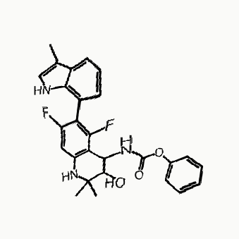 Cc1c[nH]c2c(-c3c(F)cc4c(c3F)C(NC(=O)Oc3ccccc3)C(O)C(C)(C)N4)cccc12